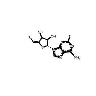 Nc1nc(F)nc2c1ncn2[C@@H]1O/C(=C/F)C(O)C1O